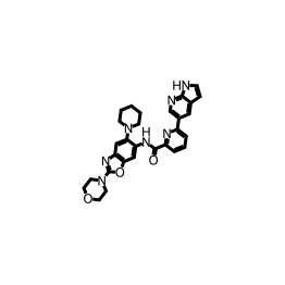 O=C(Nc1cc2oc(N3CCOCC3)nc2cc1N1CCCCC1)c1cccc(-c2cnc3[nH]ccc3c2)n1